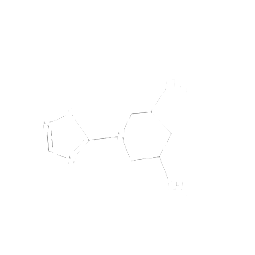 CC1CC(C)CN(c2ncns2)C1